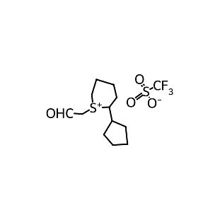 O=CC[S+]1CCCCC1C1CCCC1.O=S(=O)([O-])C(F)(F)F